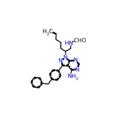 C=CCCCC(CNC=O)n1nc(-c2ccc(Cc3ccccc3)cc2)c2c(N)ncnc21